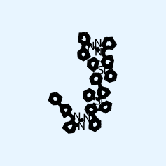 c1ccc(-c2ccc(-c3nc(-n4c5ccccc5c5cc([Si](c6ccccc6)(c6ccccc6)c6cccc(-c7cccc([Si](c8ccccc8)(c8ccccc8)c8cccc(-c9nc(-n%10c%11ccccc%11c%11ccccc%11%10)nc%10ccccc9%10)c8)c7)c6)ccc54)nc4ccccc34)cc2)cc1